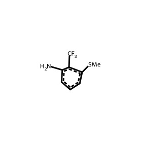 CSc1cccc(N)c1C(F)(F)F